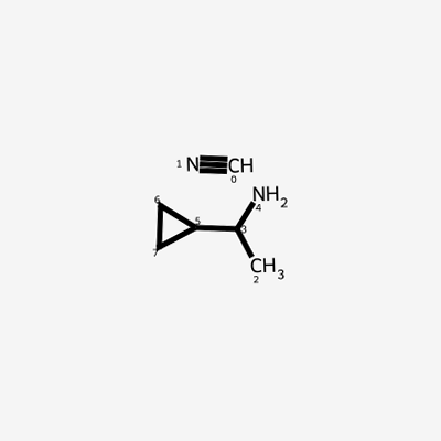 C#N.CC(N)C1CC1